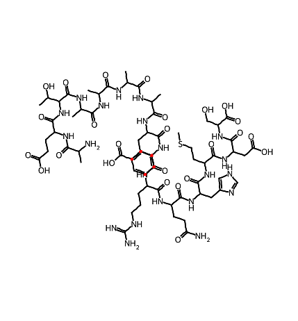 CSCCC(NC(=O)C(Cc1c[nH]cn1)NC(=O)C(CCC(N)=O)NC(=O)C(CCCNC(=N)N)NC(=O)C(CCC(=O)O)NC(=O)C(Cc1ccccc1)NC(=O)C(C)NC(=O)C(C)NC(=O)C(C)NC(=O)C(C)NC(=O)C(NC(=O)C(CCC(=O)O)NC(=O)C(C)N)C(C)O)C(=O)NC(CC(=O)O)C(=O)NC(CO)C(=O)O